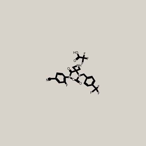 N#Cc1ccc(N2CC(=O)N(Cc3ccc(C(F)(F)F)cc3)C3(CNC3)C2=O)c(F)c1.O=C(O)C(F)(F)F